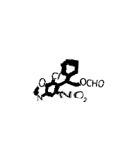 O=COCC(c1ccccc1)c1c([N+](=O)[O-])cc2ncoc2c1Cl